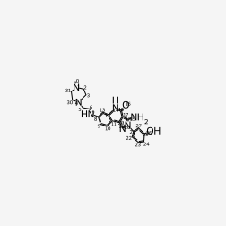 CN1CCN(CCNc2ccc3c(c2)[nH]c(=O)c2c(N)n(-c4cccc(O)c4)nc23)CC1